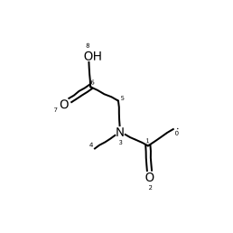 [CH2]C(=O)N(C)CC(=O)O